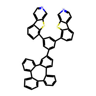 c1ccc2c(c1)-c1ccccc1-c1ccc(-c3cc(-c4cccc5c4sc4cnccc45)cc(-c4cccc5c4sc4cnccc45)c3)cc1-c1ccccc1-2